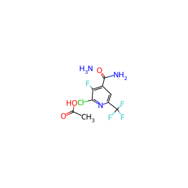 CC(=O)O.N.NC(=O)c1cc(C(F)(F)F)nc(Cl)c1F